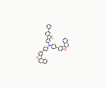 CC1(C)c2cc(-c3ccccc3)ccc2-c2ccc(N(c3ccc(-c4ccc5oc6ccc7ccccc7c6c5c4)cc3)c3ccc(-c4ccc5oc6ccc7ccccc7c6c5c4)cc3)cc21